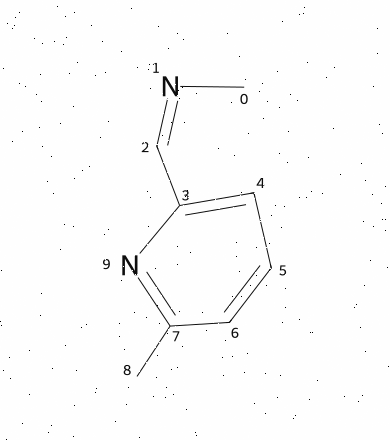 C/N=C\c1cccc(C)n1